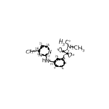 CN(C)S(=O)(=O)c1cccc(Nc2nccc(Cl)n2)c1